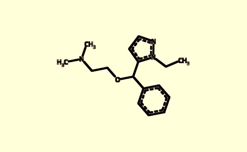 CCn1nccc1C(OCCN(C)C)c1ccccc1